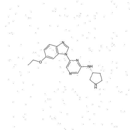 CCOc1ccc2ncn(-c3cncc(N[C@@H]4CCNC4)n3)c2c1